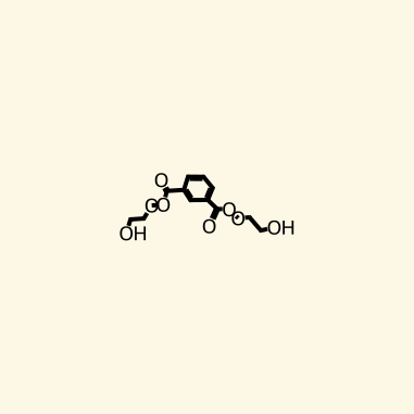 O=C(OOCCO)c1cccc(C(=O)OOCCO)c1